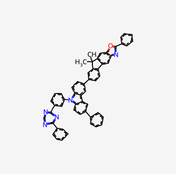 CC1(C)c2cc(-c3ccc4c(c3)c3cc(-c5ccccc5)ccc3n4-c3cccc(-c4ncnc(-c5ccccc5)n4)c3)ccc2-c2cc3nc(-c4ccccc4)oc3cc21